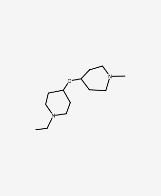 CCN1CCC(OC2CCN(C)CC2)CC1